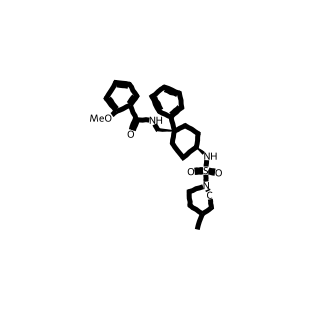 COc1ccccc1C(=O)NC[C@]1(c2ccccc2)CC[C@H](NS(=O)(=O)N2CCC(C)CC2)CC1